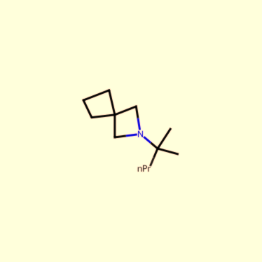 CCCC(C)(C)N1CC2(CCC2)C1